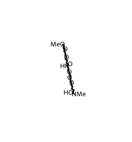 CNC(O)CCCCOCCOCCOCCNC(=O)CCCOCCCOCCOC